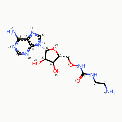 NCCNC(=O)NOC[C@H]1O[C@@H](n2cnc3c(N)ncnc32)[C@H](O)[C@@H]1O